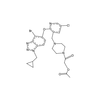 CC(=O)OCC(=O)N1CCN(Cc2cc(Cl)cnc2Oc2ccc3c(nnn3CC3CC3)c2Br)CC1